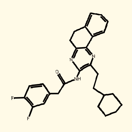 O=C(Cc1ccc(F)c(F)c1)Nc1nc2c(nc1CCC1CCCCC1)-c1ccccc1CC2